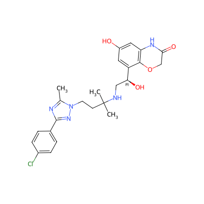 Cc1nc(-c2ccc(Cl)cc2)nn1CCC(C)(C)NC[C@H](O)c1cc(O)cc2c1OCC(=O)N2